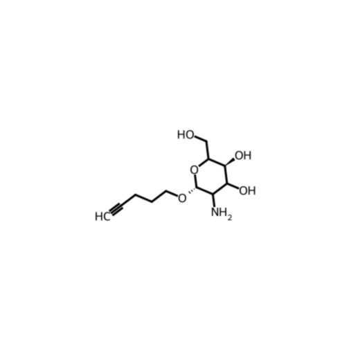 C#CCCCO[C@@H]1OC(CO)[C@@H](O)C(O)C1N